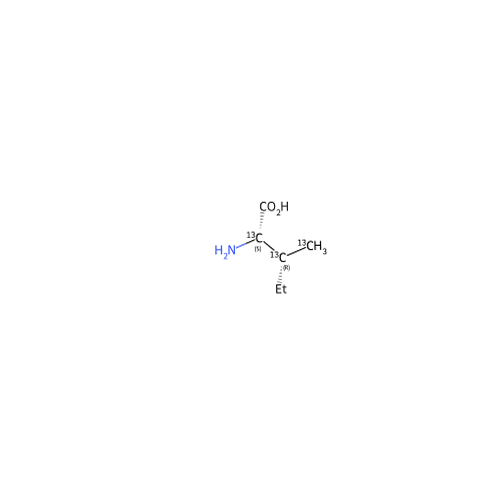 [13CH3][13CH2][13C@@H]([13CH3])[13C@H](N)[13C](=O)O